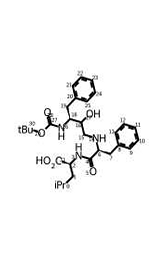 CC(C)C[C@H](NC(=O)[C@H](Cc1ccccc1)NCC(O)[C@H](Cc1ccccc1)NC(=O)OC(C)(C)C)C(=O)O